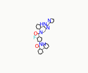 O=C(Nc1ccc(C(=O)N2CCc3nc(-c4ccccn4)[nH]c3-c3ccccc32)c(F)c1)c1ccccc1-c1ccccc1